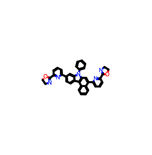 c1ccc(-n2c3cc(-c4cccc(C5=NCCO5)n4)ccc3c3c4ccccc4c(-c4cccc(C5=NCCO5)n4)cc32)cc1